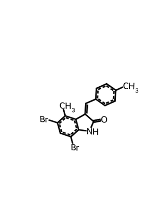 Cc1ccc(C=C2C(=O)Nc3c(Br)cc(Br)c(C)c32)cc1